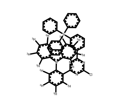 [2H]c1c([2H])c([2H])c(-n2c3c([2H])c([2H])c([2H])c([2H])c3c3c([2H])c([2H])c([2H])c([2H])c32)c(-c2nc(Cl)nc(-c3cccc([Si](c4ccccc4)(c4ccccc4)c4ccccc4)c3)n2)c1[2H]